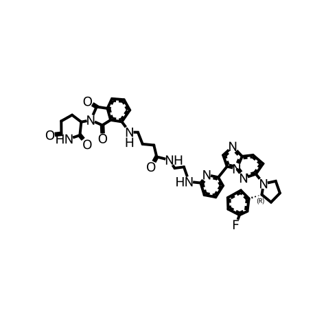 O=C(CCCNc1cccc2c1C(=O)N(C1CCC(=O)NC1=O)C2=O)NCCNc1cccc(-c2cnc3ccc(N4CCC[C@@H]4c4cccc(F)c4)nn23)n1